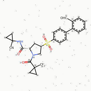 N#CC1(NC(=O)[C@@H]2C[C@@H](S(=O)(=O)c3ccc(-c4ccccc4C=O)cc3)CN2C(=O)C2(C(F)(F)F)CC2)CC1